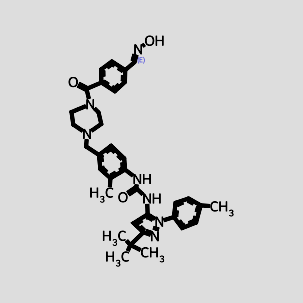 Cc1ccc(-n2nc(C(C)(C)C)cc2NC(=O)Nc2ccc(CN3CCN(C(=O)c4ccc(/C=N/O)cc4)CC3)cc2C)cc1